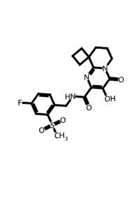 CS(=O)(=O)c1cc(F)ccc1CNC(=O)c1nc2n(c(=O)c1O)CCCC21CCC1